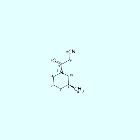 C[C@H]1CCCN(C(=O)CC#N)C1